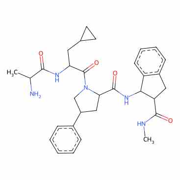 CNC(=O)C1Cc2ccccc2C1NC(=O)C1CC(c2ccccc2)CN1C(=O)C(CC1CC1)NC(=O)C(C)N